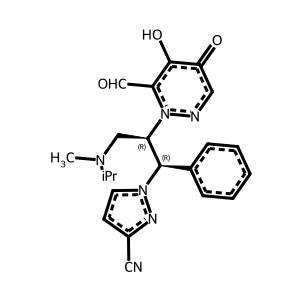 CC(C)N(C)C[C@H]([C@@H](c1ccccc1)n1ccc(C#N)n1)n1ncc(=O)c(O)c1C=O